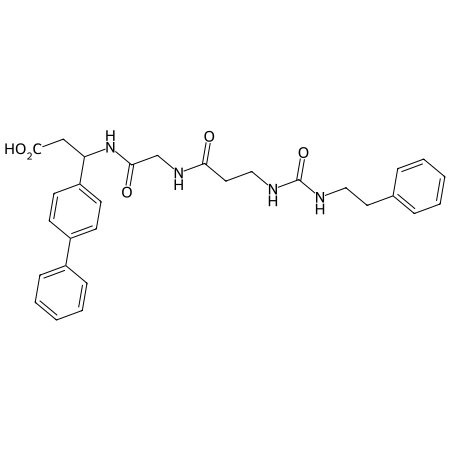 O=C(O)CC(NC(=O)CNC(=O)CCNC(=O)NCCc1ccccc1)c1ccc(-c2ccccc2)cc1